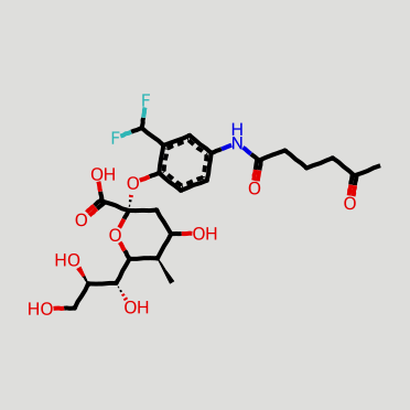 CC(=O)CCCC(=O)Nc1ccc(O[C@]2(C(=O)O)CC(O)[C@@H](C)C([C@H](O)[C@H](O)CO)O2)c(C(F)F)c1